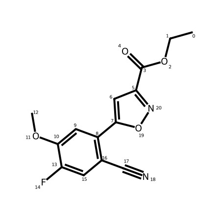 CCOC(=O)c1cc(-c2cc(OC)c(F)cc2C#N)on1